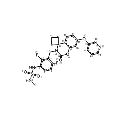 CNS(=O)(=O)Nc1ccc(F)c(CN2C(=O)Oc3cc(Oc4cccnn4)ccc3C23CCC3)c1F